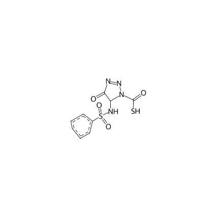 O=C1N=NN(C(=O)S)C1NS(=O)(=O)c1ccccc1